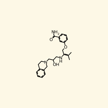 CC(C)=C(COc1cccc(C(N)=O)c1)NCC(O)CN1CCc2ccccc2C1